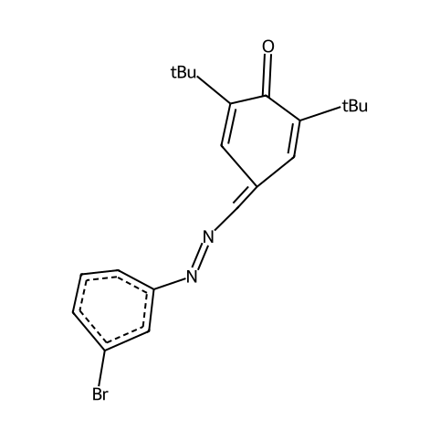 CC(C)(C)C1=CC(=CN=Nc2cccc(Br)c2)C=C(C(C)(C)C)C1=O